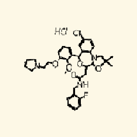 COc1c(OCCN2CCCC2)cccc1C1OC(CC(=O)NCc2ccccc2F)C(=O)N(CC(C)(C)C)c2ccc(Cl)cc21.Cl